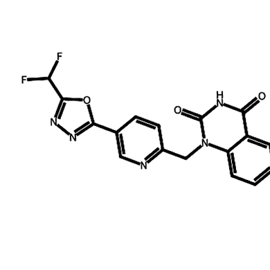 O=c1[nH]c(=O)n(Cc2ccc(-c3nnc(C(F)F)o3)cn2)c2ccccc12